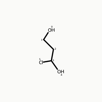 OCCC(O)Cl